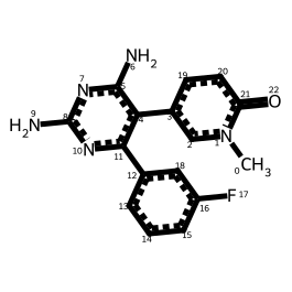 Cn1cc(-c2c(N)nc(N)nc2-c2cccc(F)c2)ccc1=O